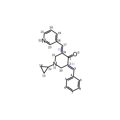 O=C1/C(=C/c2ccccc2)CN(C2CC2)C/C1=C\c1cccnc1